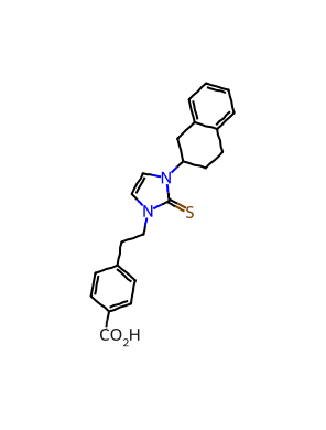 O=C(O)c1ccc(CCn2ccn(C3CCc4ccccc4C3)c2=S)cc1